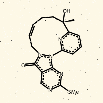 CSc1ncc2c(=O)n3n(c2n1)-c1cccc(n1)[C@@](C)(O)CC/C=C\C3